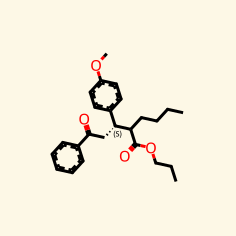 CCCCC(C(=O)OCCC)[C@H](CC(=O)c1ccccc1)c1ccc(OC)cc1